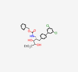 CCOC(=O)[C@H](O)[C@@H](O)[C@H](CNC(=O)OCc1ccccc1)Cc1ccc(-c2cc(Cl)cc(Cl)c2)cc1